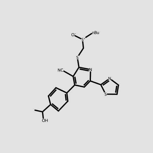 CCCC[S+]([O-])CSc1nc(-c2nccs2)cc(-c2ccc(C(C)O)cc2)c1C#N